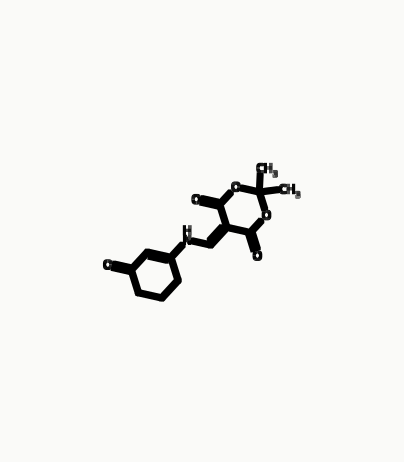 CC1(C)OC(=O)C(=CNC2=CC(=O)CCC2)C(=O)O1